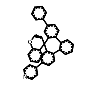 c1ccc(-c2ccc3c(c2)C2(c4ccccc4Oc4ccccc42)c2cc(-c4ccncc4)ccc2-c2ccccc2-3)cc1